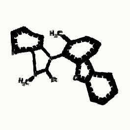 CCC1N(C)c2ncccc2N1c1c(C)ccc2c1oc1ccccc12